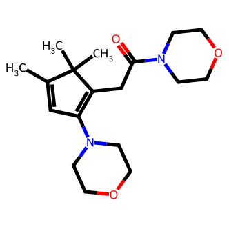 CC1=CC(N2CCOCC2)=C(CC(=O)N2CCOCC2)C1(C)C